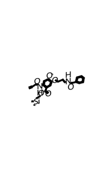 C#CC(=O)Nc1cc(OC)c(OCCCNC(=O)c2ccccc2)cc1C(=O)OCC[Si](C)(C)C